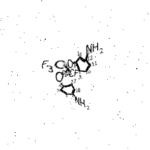 Nc1ccc(OC(Oc2cccc(N)c2)(C(F)(F)F)C(F)(F)F)cc1